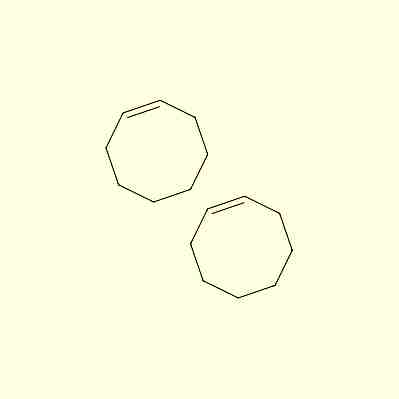 C1=CCCCCCC1.C1=CCCCCCC1